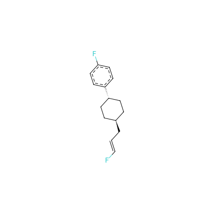 F/C=C/C[C@H]1CC[C@H](c2ccc(F)cc2)CC1